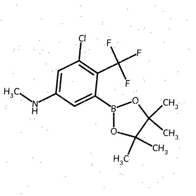 CNc1cc(Cl)c(C(F)(F)F)c(B2OC(C)(C)C(C)(C)O2)c1